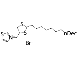 CCCCCCCCCCCCCCCCCC1SCC(C[n+]2ccsc2)S1.[Br-]